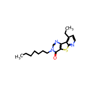 CCCCCCCn1cnc2c(sc3nccc(CC)c32)c1=O